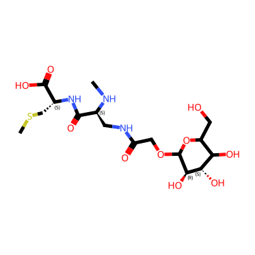 CN[C@@H](CNC(=O)COC1OC(CO)C(O)[C@H](O)[C@H]1O)C(=O)N[C@H](CSC)C(=O)O